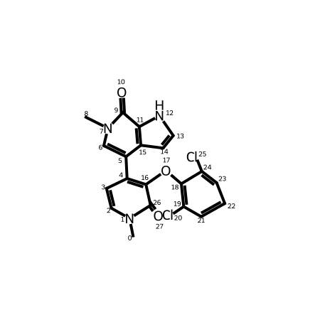 Cn1ccc(-c2cn(C)c(=O)c3[nH]ccc23)c(Oc2c(Cl)cccc2Cl)c1=O